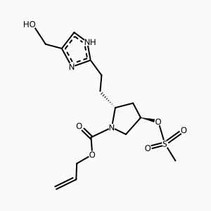 C=CCOC(=O)N1C[C@H](OS(C)(=O)=O)C[C@H]1CCc1nc(CO)c[nH]1